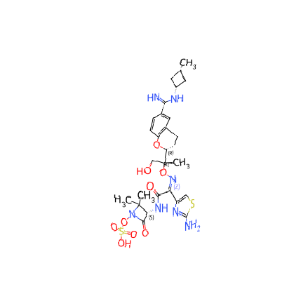 CC1(C)[C@H](NC(=O)/C(=N\O[C@](C)(CO)[C@H]2CCc3cc(C(=N)N[C@H]4C[C@@H](C)C4)ccc3O2)c2csc(N)n2)C(=O)N1OS(=O)(=O)O